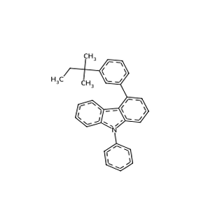 CCC(C)(C)c1cccc(-c2cccc3c2c2ccccc2n3-c2ccccc2)c1